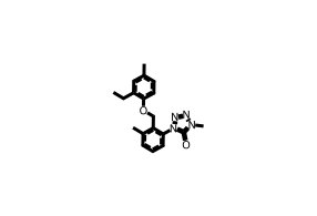 CCc1cc(C)ccc1OCc1c(C)cccc1-n1nnn(C)c1=O